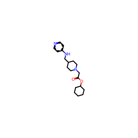 O=C(CN1CCC(CNc2ccncc2)CC1)OC1CCCCC1